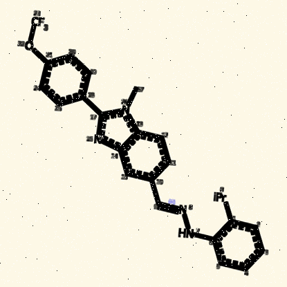 CC(C)c1ccccc1N/N=C/c1ccc2c(c1)nc(-c1ccc(OC(F)(F)F)cc1)n2C